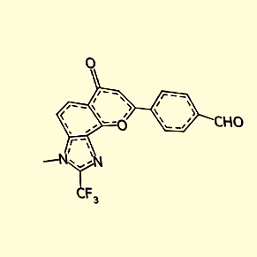 Cn1c(C(F)(F)F)nc2c3oc(-c4ccc(C=O)cc4)cc(=O)c3ccc21